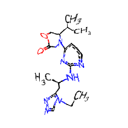 CCn1cnnc1[C@@H](C)Nc1nccc(N2C(=O)OCC2C(C)C)n1